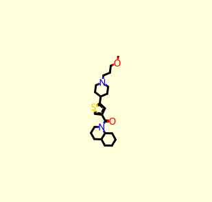 COCCCN1CCC(c2cc(C(=O)N3CCCC4CCCCC43)cs2)CC1